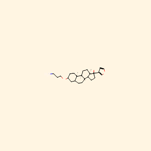 C[C@]12CCC(OCCCN)CC1CC[C@@H]1[C@H]2CC[C@@]2(C)[C@H]1CCC2(O)c1ccoc1